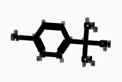 CC(C)c1ccc(C(C)(C)O)nn1